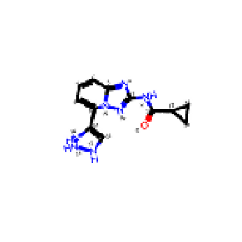 O=C(Nc1nc2cccc(C3=CNNN3)n2n1)C1CC1